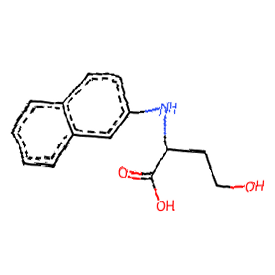 O=C(O)C(CCO)Nc1ccc2ccccc2c1